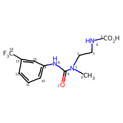 CN(CCNC(=O)O)C(=O)Nc1cccc(C(F)(F)F)c1